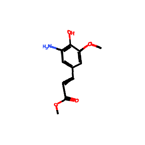 COC(=O)C=Cc1cc(N)c(O)c(OC)c1